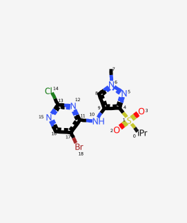 CC(C)S(=O)(=O)c1nn(C)cc1Nc1nc(Cl)ncc1Br